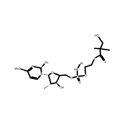 COC1=N[C@@H](O)N([C@@H]2OC(COP(=O)(NC(C)C)OCCSC(=O)C(C)(C)CO)[C@@H](O)[C@@H]2C)C=C1